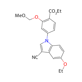 CCOC(=O)c1ccc(-n2cc(C#N)c3cc(OCC)ccc32)cc1OCOC